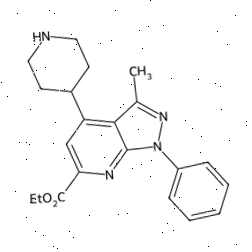 CCOC(=O)c1cc(C2CCNCC2)c2c(C)nn(-c3ccccc3)c2n1